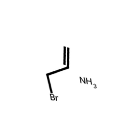 C=CCBr.N